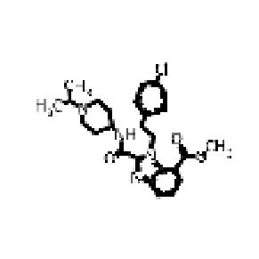 COC(=O)c1cccc2nc(C(=O)NC3CCN(C(C)C)CC3)n(CCc3ccc(Cl)cc3)c12